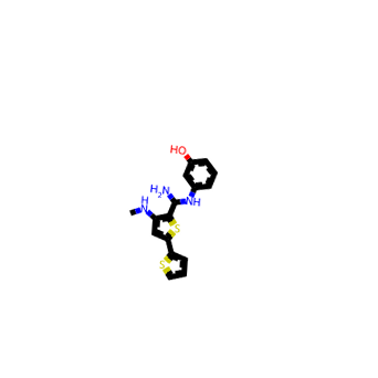 CNc1cc(-c2cccs2)sc1C(N)Nc1cccc(O)c1